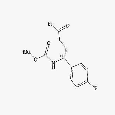 CCC(=O)CC[C@@H](NC(=O)OC(C)(C)C)c1ccc(F)cc1